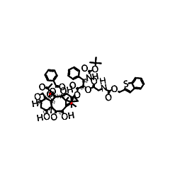 CC(=O)O[C@@]12CO[C@@H]1C[C@H](O)[C@@]1(C)C(=O)[C@H](O)C3=C(C)[C@@H](OC(=O)[C@H](OC(=O)CNC(=O)OCc4cc5ccccc5s4)[C@@H](NC(=O)OC(C)(C)C)c4ccccc4)C[C@@](O)([C@@H](OC(=O)c4ccccc4)[C@H]21)C3(C)C1(C)CC1